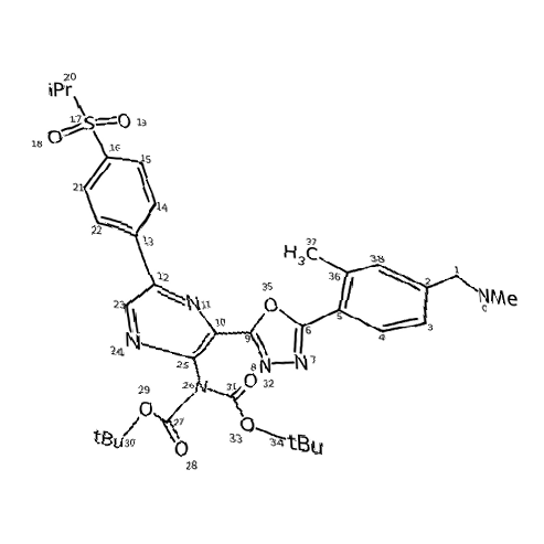 CNCc1ccc(-c2nnc(-c3nc(-c4ccc(S(=O)(=O)C(C)C)cc4)cnc3N(C(=O)OC(C)(C)C)C(=O)OC(C)(C)C)o2)c(C)c1